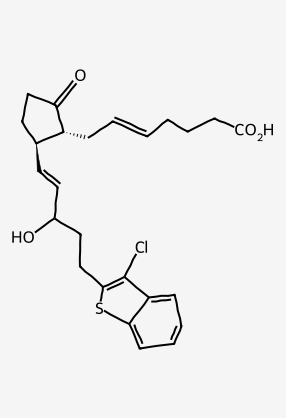 O=C(O)CCCC=CC[C@H]1C(=O)CC[C@@H]1C=CC(O)CCc1sc2ccccc2c1Cl